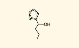 CCCC(O)c1cccs1